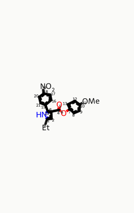 CCc1cc(C(=O)Oc2ccc(OC)cc2)c(-c2ccc([N+](=O)[O-])cc2)[nH]1